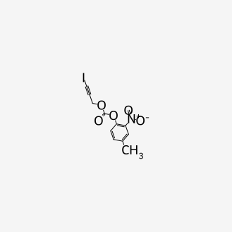 Cc1ccc(OC(=O)OCC#CI)c([N+](=O)[O-])c1